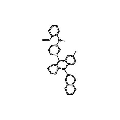 C=Cc1ccccc1N(C)c1cccc(-c2c3ccccc3c(-c3ccc4ccccc4c3)c3ccc(C)cc23)c1